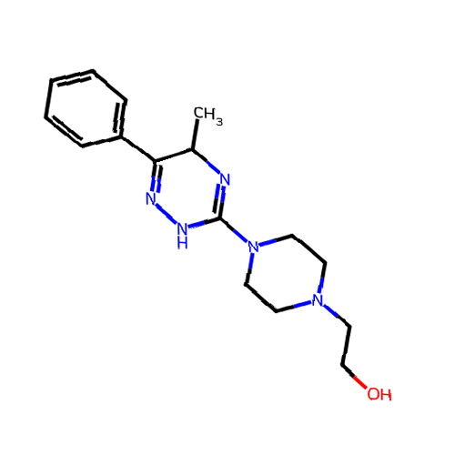 CC1N=C(N2CCN(CCO)CC2)NN=C1c1ccccc1